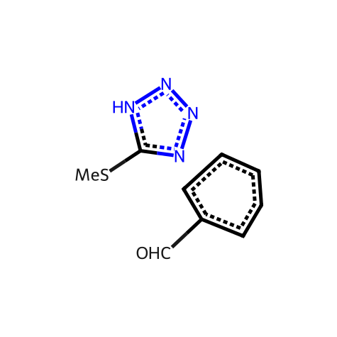 CSc1nnn[nH]1.O=Cc1ccccc1